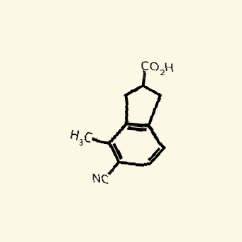 Cc1c(C#N)ccc2c1CC(C(=O)O)C2